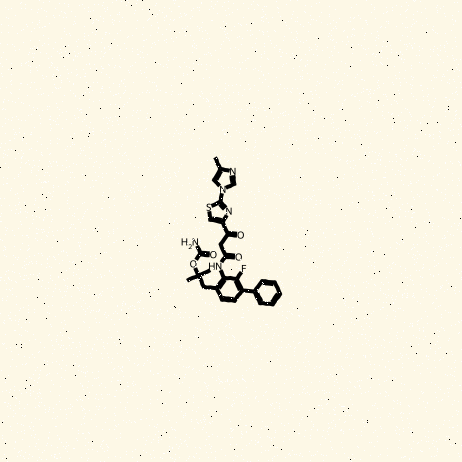 Cc1cn(-c2nc(C(=O)CC(=O)Nc3c(CC(C)(C)OC(N)=O)ccc(-c4ccccc4)c3F)cs2)cn1